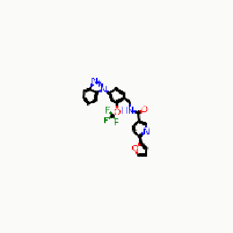 O=C(NCc1ccc(-n2nnc3ccccc32)cc1OC(F)(F)F)c1ccc(-c2ccco2)nc1